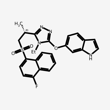 CCn1c(Oc2ccc3cc[nH]c3c2)nnc1[C@@H](C)CS(=O)(=O)c1ccc(F)c2ccccc12